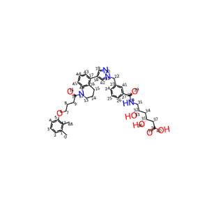 Cc1cccc(OCCCC(=O)N2CCCc3c(-c4cnn(Cc5cccc(C(=O)NC[C@@H](O)C[C@@H](O)CC(=O)O)c5)c4)cccc32)c1C